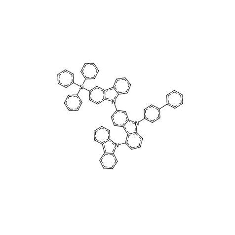 c1ccc(-c2ccc(-n3c4cc(-n5c6ccccc6c6cc([Si](c7ccccc7)(c7ccccc7)c7ccccc7)ccc65)ccc4c4c(-n5c6ccccc6c6ccccc65)cccc43)cc2)cc1